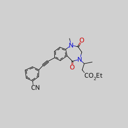 CCOC(=O)CC(C)N1CC(=O)N(C)c2ccc(C#Cc3cccc(C#N)c3)cc2C1=O